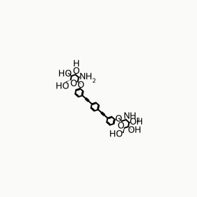 N[C@H]1[C@H](Oc2cccc(C#Cc3ccc(C#Cc4cccc(O[C@@H]5O[C@H](CO)[C@@H](O)[C@H](O)[C@H]5N)c4)cc3)c2)O[C@H](CO)[C@@H](O)[C@@H]1O